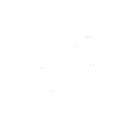 CCCOC(=O)C1(C)CCCOC1=O